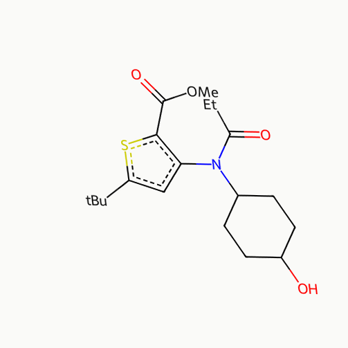 CCC(=O)N(c1cc(C(C)(C)C)sc1C(=O)OC)C1CCC(O)CC1